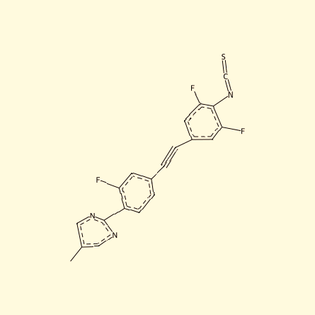 Cc1cnc(-c2ccc(C#Cc3cc(F)c(N=C=S)c(F)c3)cc2F)nc1